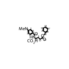 CNc1ccc(C(=O)NC(CCC(=O)OCc2ccccc2)C(=O)O)cc1